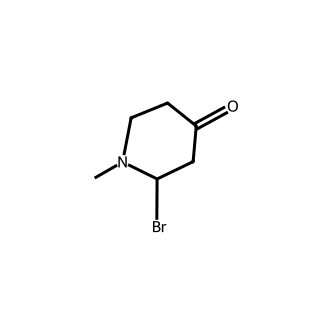 CN1CCC(=O)CC1Br